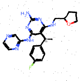 C[C@@H](c1ccc(F)cc1)c1c(NCC2CCCO2)nc(N)nc1Nc1cnccn1